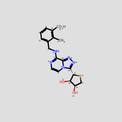 Cc1c(CNc2nccn3c([C@@H]4SC[C@@H](O)[C@H]4O)nnc23)cccc1C(=O)O